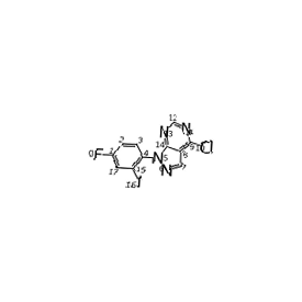 Fc1ccc(-n2ncc3c(Cl)ncnc32)c(I)c1